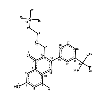 Cc1cc(O)cc2c(=O)n(COCCS(C)(C)C)c(-c3cc(C(F)(F)F)ccn3)nc12